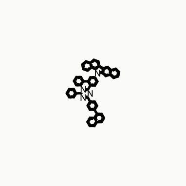 c1ccc(-c2nc(-c3ccc(-c4cccc5ccccc45)cc3)nc(-c3ccc(-n4c5cc6ccccc6cc5c5ccc6ccccc6c54)cc3-c3ccccc3)n2)cc1